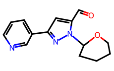 O=Cc1cc(-c2cccnc2)nn1C1CCCCO1